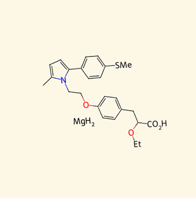 CCOC(Cc1ccc(OCCn2c(C)ccc2-c2ccc(SC)cc2)cc1)C(=O)O.[MgH2]